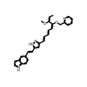 C\C=C(OC)/C(=C\C=C\C=C\c1cc(/C=C/c2ccc3[nH]ccc3c2)[nH]n1)OCc1ccccn1